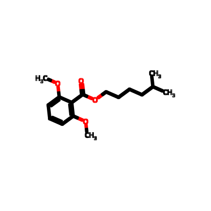 COc1cccc(OC)c1C(=O)OCCCCC(C)C